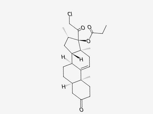 CCC(=O)O[C@]1(C(=O)CCl)[C@@H](C)C[C@H]2[C@@H]3CC[C@@H]4CC(=O)CC[C@]4(C)C3=CC[C@@]21C